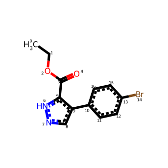 CCOC(=O)c1[nH]ncc1-c1ccc(Br)cc1